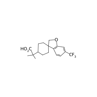 CC(C)(C(=O)O)C1CCC2(CC1)COc1cc(C(F)(F)F)ccc12